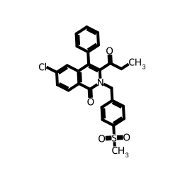 CCC(=O)c1c(-c2ccccc2)c2cc(Cl)ccc2c(=O)n1Cc1ccc(S(C)(=O)=O)cc1